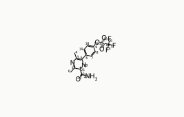 Cc1nc(C)c(-c2ccc(OS(=O)(=O)C(F)(F)F)cc2)nc1C(N)=O